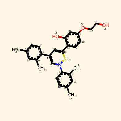 Cc1ccc(C2=CN(c3ccc(C)cc3C)SC(c3ccc(OCCO)cc3O)=C2)c(C)c1